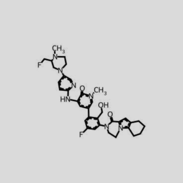 CN1CCN(c2ccc(Nc3cc(-c4cc(F)cc(N5CCn6c(cc7c6CCCC7)C5=O)c4CO)cn(C)c3=O)nc2)CC1CF